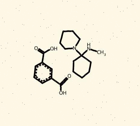 CNC1(N2CCCCC2)CCCCC1.O=C(O)c1cccc(C(=O)O)c1